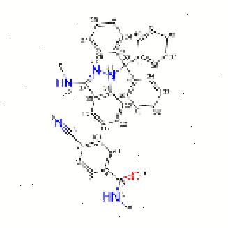 CNC(=O)c1ccc(C#N)c(-c2ccc3c(c2)c(NC)nn3C(c2ccccc2)(c2ccccc2)c2ccccc2)c1